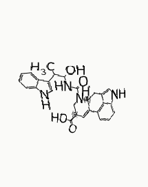 CC(c1c[nH]c2ccccc12)C(O)NC(=O)N1C[C@H](C(=O)O)C=C2c3cccc4[nH]cc(c34)C[C@H]21